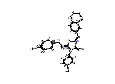 O=C1/C(=C/c2ccc3c(c2)OCCO3)S/C(=N\Cc2ccc(F)cc2)N1c1ccc(Cl)cc1